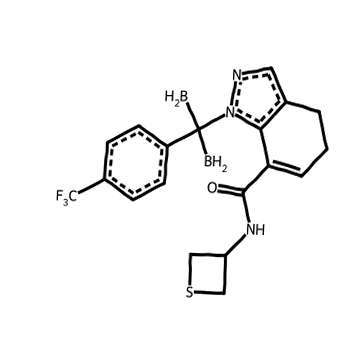 BC(B)(c1ccc(C(F)(F)F)cc1)n1ncc2c1C(C(=O)NC1CSC1)=CCC2